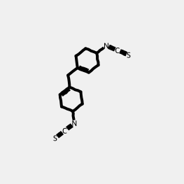 S=C=NC1CC=C(CC2=CCC(N=C=S)CC2)CC1